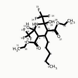 CCCCCC1C(C(=O)OCC)C(O)(C(F)(F)F)NC(O)(C(F)(F)F)C1C(=O)OCC